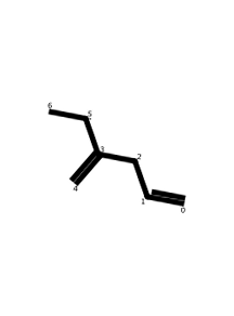 C=CCC(=C)[CH]C